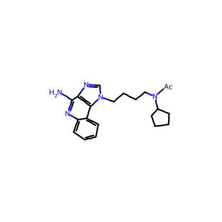 CC(=O)N(CCCCn1cnc2c(N)nc3ccccc3c21)C1CCCC1